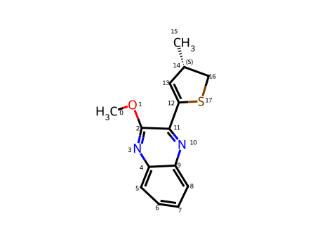 COc1nc2ccccc2nc1C1=C[C@H](C)CS1